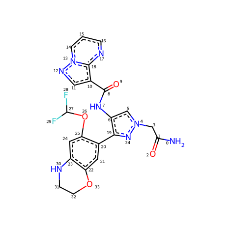 NC(=O)Cn1cc(NC(=O)c2cnn3cccnc23)c(-c2cc3c(cc2OC(F)F)NCCO3)n1